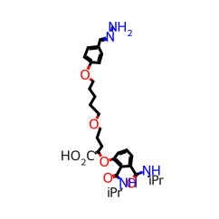 CC(C)NC(=O)c1cccc(OC(CCCOCCCCCOc2ccc(C=NN)cc2)C(=O)O)c1C(=O)NC(C)C